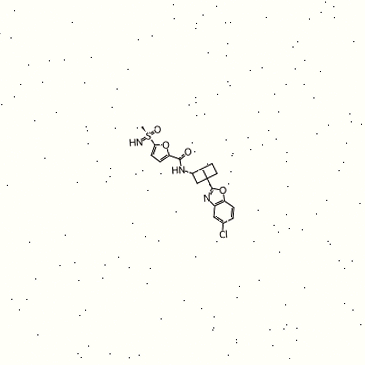 C[S@@](=N)(=O)c1ccc(C(=O)NC2CC3(c4nc5cc(Cl)ccc5o4)CCC23)o1